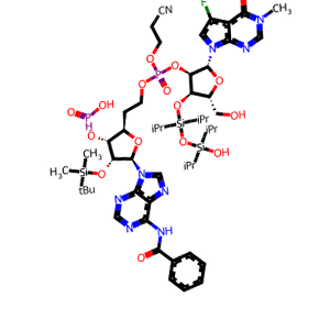 CC(C)[Si](O)(O[Si](O[C@H]1[C@@H](OP(=O)(OCCC#N)OCC[C@H]2O[C@@H](n3cnc4c(NC(=O)c5ccccc5)ncnc43)[C@H](O[Si](C)(C)C(C)(C)C)[C@@H]2O[PH](=O)O)[C@H](n2cc(F)c3c(=O)n(C)cnc32)O[C@@H]1CO)(C(C)C)C(C)C)C(C)C